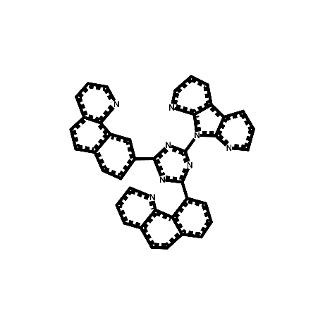 c1cnc2c(c1)ccc1ccc(-c3nc(-c4cccc5ccc6cccnc6c45)nc(-n4c5ncccc5c5cccnc54)n3)cc12